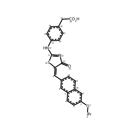 CC(C)Oc1ccc2cc(C=C3SC(Nc4ccc(CC(=O)O)cc4)=NC3=O)ccc2c1